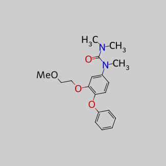 COCCOc1cc(N(C)C(=O)N(C)C)ccc1Oc1ccccc1